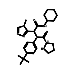 Cn1cnnc1C(C(=O)NC1CCCCC1)N(C(=O)[C@H]1CCCN1)c1ccc(C(C)(C)C)cc1